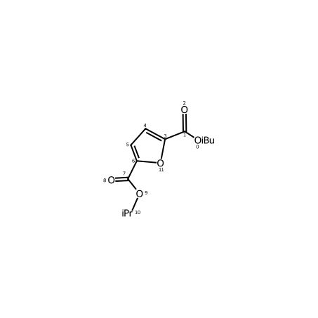 CC(C)COC(=O)c1ccc(C(=O)OC(C)C)o1